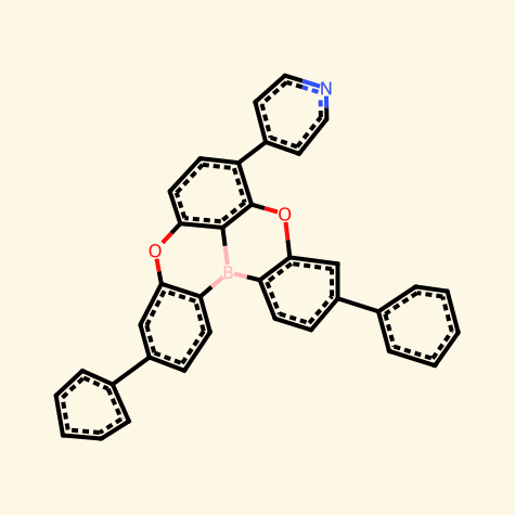 c1ccc(-c2ccc3c(c2)Oc2ccc(-c4ccncc4)c4c2B3c2ccc(-c3ccccc3)cc2O4)cc1